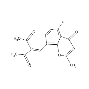 CC(=O)C(=Cc1ccc(F)c2c(=O)cc(C)oc12)C(C)=O